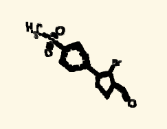 CS(=O)(=O)c1ccc(C2=C(Br)C(C=O)CC2)cc1